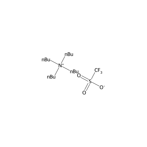 CCCC[N+](CCCC)(CCCC)CCCC.O=S(=O)([O-])C(F)(F)F